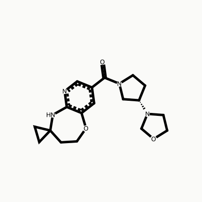 O=C(c1cnc2c(c1)OCCC1(CC1)N2)N1CC[C@H](N2CCOC2)C1